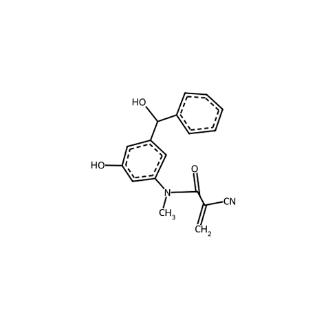 C=C(C#N)C(=O)N(C)c1cc(O)cc(C(O)c2ccccc2)c1